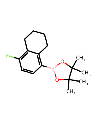 CC1(C)OB(c2ccc(F)c3c2CCCC3)OC1(C)C